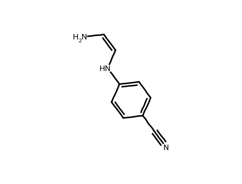 N#Cc1ccc(N/C=C\N)cc1